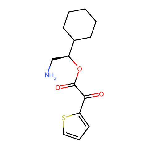 NC[C@H](OC(=O)C(=O)c1cccs1)C1CCCCC1